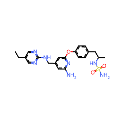 CCc1cnc(NCc2cc(N)nc(Oc3ccc(CC(C)NS(N)(=O)=O)cc3)c2)nc1